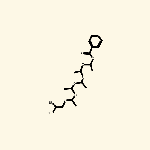 CCCCC(CC)COC(C)OC(C)OC(C)OC(C)OC(C)OC(=O)c1ccccc1